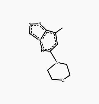 Cc1cc(N2CCOCC2)nn2cnnc12